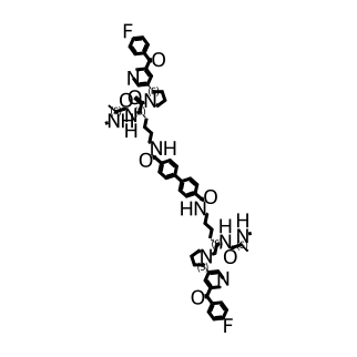 CN[C@@H](C)C(=O)N[C@@H](CCCCNC(=O)c1ccc(-c2ccc(C(=O)NCCCC[C@H](NC(=O)[C@H](C)NC)C(=O)N3CCC[C@H]3c3cncc(C(=O)c4ccc(F)cc4)c3)cc2)cc1)CN1CCC[C@H]1c1cncc(C(=O)c2ccc(F)cc2)c1